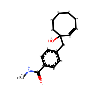 CCCCNC(=O)c1ccc(CC2(O)/C=C\CCCCC2)cc1